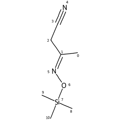 C/C(CC#N)=N\O[Si](C)(C)C